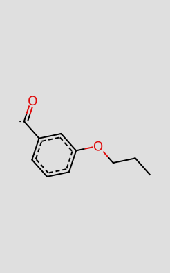 CCCOc1cccc([C]=O)c1